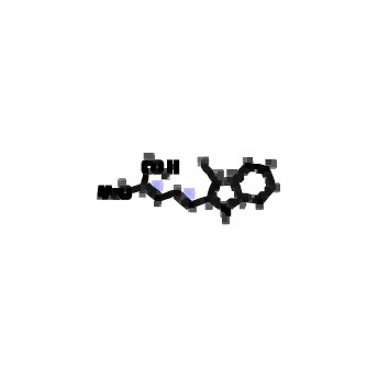 CO/C(=C/C=C/c1sc2ccccc2c1C)C(=O)O